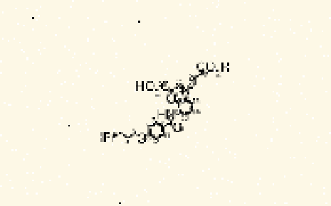 CC(C)CCCOc1ccc(C(=O)Nc2cccc3c2OC(C(=O)O)CN3CCCC(=O)O)cc1